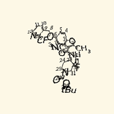 Cc1oc2ccc(OCc3cccnc3C(F)(F)F)c(C#N)c2c1C(=O)NC1CCN(C(=O)OC(C)(C)C)CC1(F)F